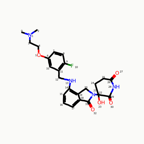 CN(C)CCOc1ccc(F)c(CNc2cccc3c2CN(C2(O)CCC(=O)NC2=O)C3=O)c1